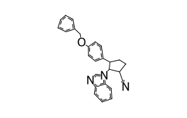 N#CC1CCC(c2ccc(OCc3ccccc3)cc2)C1n1cnc2ccccc21